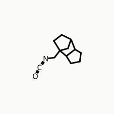 O=C=NCC12CCC(C1)C1CCCC12